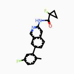 Cc1ccc(F)cc1-c1ccc2cc(NC(=O)C3(F)CC3)ncc2c1